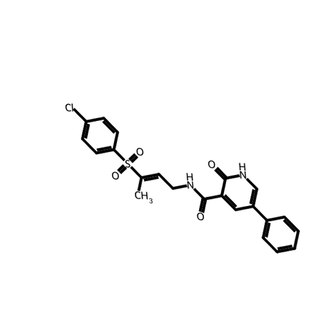 C/C(=C\CNC(=O)c1cc(-c2ccccc2)c[nH]c1=O)S(=O)(=O)c1ccc(Cl)cc1